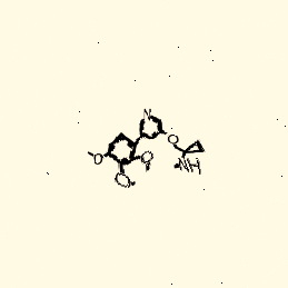 CNC1(COc2cncc(-c3ccc(OC)c(OC)c3OC)c2)CC1